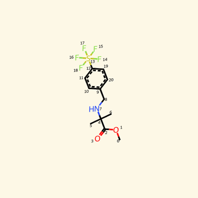 COC(=O)C(C)(C)NCc1ccc(S(F)(F)(F)(F)F)cc1